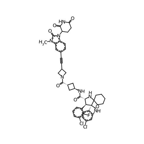 Cn1c(=O)n(C2CCC(=O)NC2=O)c2ccc(C#CC3CN(C(=O)[C@H]4C[C@H](NC(=O)[C@@H]5NC6(CCCCC6)[C@@]6(C(=O)Nc7cc(Cl)ccc76)[C@H]5c5cccc(Cl)c5F)C4)C3)cc21